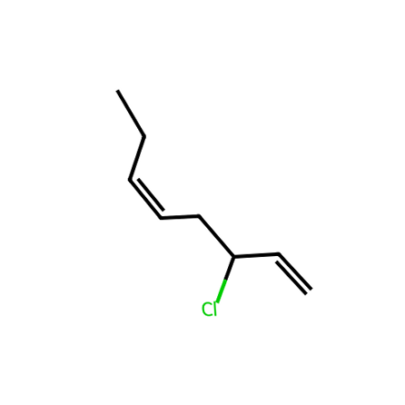 C=CC(Cl)C/C=C\CC